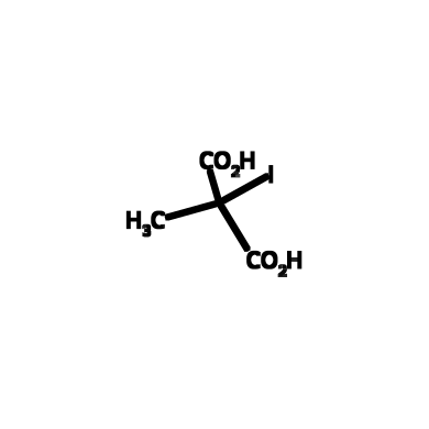 CC(I)(C(=O)O)C(=O)O